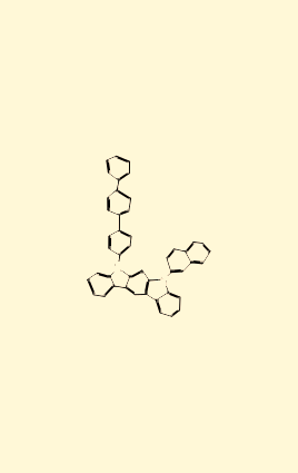 c1ccc(-c2ccc(-c3ccc(-n4c5ccccc5c5cc6c7ccccc7n(-c7ccc8ccccc8c7)c6cc54)cc3)cc2)cc1